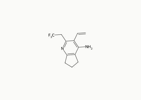 C=Cc1c(CC(F)(F)F)nc2c(c1N)CCC2